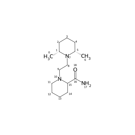 C[C@@H]1CCC[C@H](C)N1CCN1CCCCC1C(N)=O